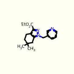 CCOC(=O)c1nn(Cc2cccnc2)c2c1CCC(C)(C)C2